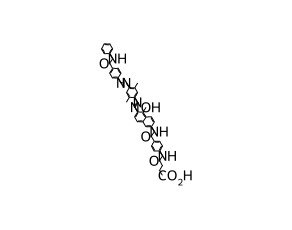 Cc1cc(N=Nc2ccc3cc(NC(=O)c4ccc(NC(=O)CCC(=O)O)cc4)ccc3c2O)c(C)cc1N=Nc1ccc(C(=O)Nc2ccccc2)cc1